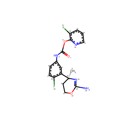 C[C@@]1(c2cc(NC(=O)Oc3ncccc3F)ccc2F)CCOC(N)=N1